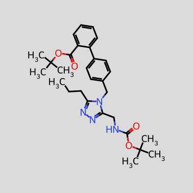 CCCc1nnc(CNC(=O)OC(C)(C)C)n1Cc1ccc(-c2ccccc2C(=O)OC(C)(C)C)cc1